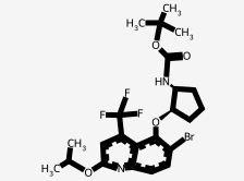 CC(C)Oc1cc(C(F)(F)F)c2c(O[C@@H]3CCC[C@H]3NC(=O)OC(C)(C)C)c(Br)ccc2n1